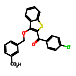 O=C(O)c1cccc(COc2c(C(=O)c3ccc(Cl)cc3)sc3ccccc23)c1